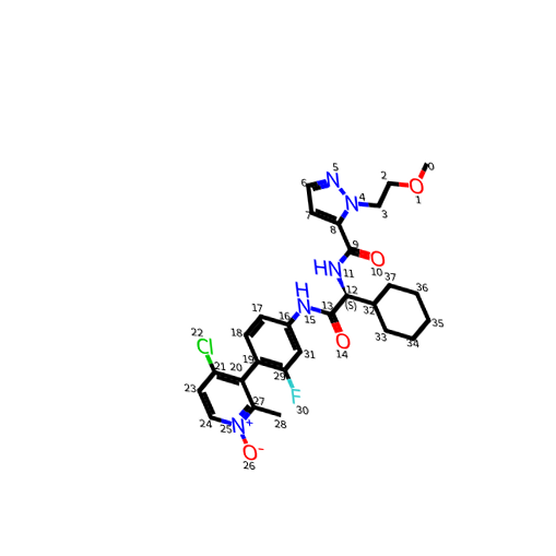 COCCn1nccc1C(=O)N[C@H](C(=O)Nc1ccc(-c2c(Cl)cc[n+]([O-])c2C)c(F)c1)C1CCCCC1